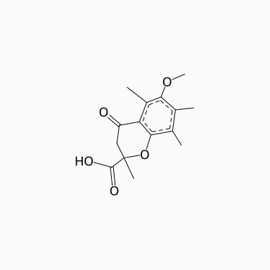 COc1c(C)c(C)c2c(c1C)C(=O)CC(C)(C(=O)O)O2